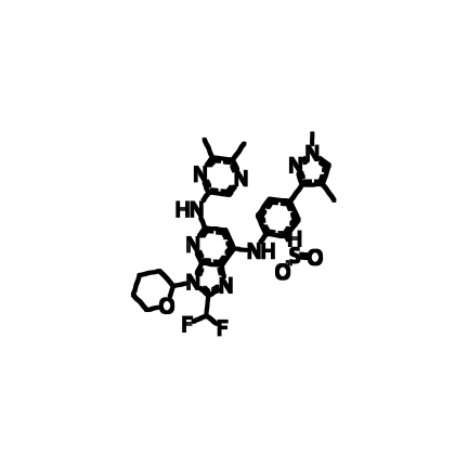 Cc1cn(C)nc1-c1ccc(Nc2cc(Nc3cnc(C)c(C)n3)nc3c2nc(C(F)F)n3C2CCCCO2)c([SH](=O)=O)c1